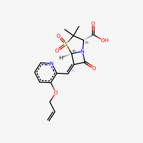 C=CCOc1cccnc1/C=C1/C(=O)N2[C@@H](C(=O)O)C(C)(C)S(=O)(=O)[C@H]12